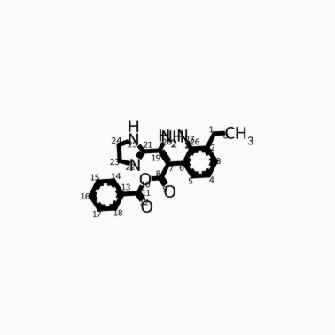 CCc1cccc(C(C(=O)OC(=O)c2ccccc2)=C(N)C2=NCCN2)c1N